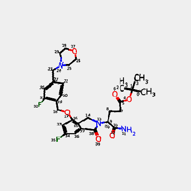 CC(C)(C)OC(=O)CC[C@@H](C(N)=O)N1Cc2c(OCc3ccc(CN4CCOCC4)cc3F)cc(F)cc2C1=O